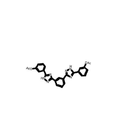 CC(=O)Oc1cccc(-c2nc(-c3cccc(-c4n[nH]c(-c5cccc(OC(C)=O)c5)n4)c3)n[nH]2)c1